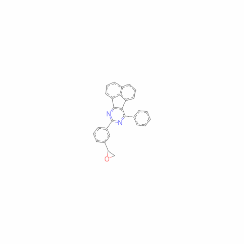 c1ccc(-c2nc(-c3cccc(C4CO4)c3)nc3c2-c2cccc4cccc-3c24)cc1